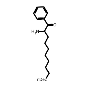 CCCCCCCCCCCCCCCCCC(N)C(=O)c1ccccc1